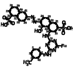 Cc1cccc(Nc2nc(F)nc(Nc3cc(S(=O)(=O)O)cc4ccc(N=Nc5ccc6c(S(=O)(=O)O)cccc6c5)c(O)c34)n2)c1